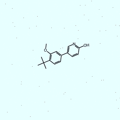 COc1cc(-c2ccc(O)nc2)ccc1C(C)(C)C